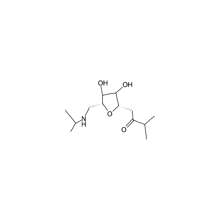 CC(C)NC[C@H]1O[C@@H](CC(=O)C(C)C)C(O)C1O